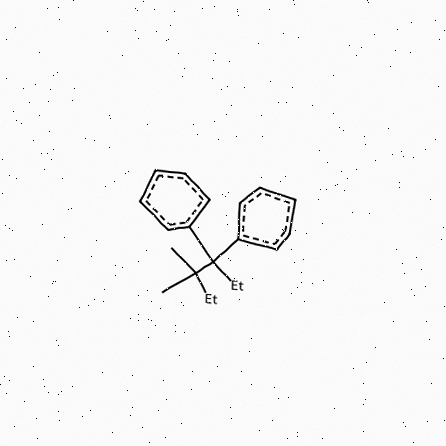 [CH2]CC(c1ccccc1)(c1ccccc1)C(C)(C)CC